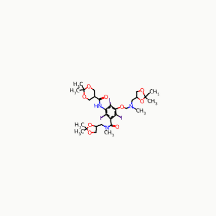 CN(COc1c(I)c(NC(=O)C2COC(C)(C)OC2)c(I)c(C(=O)N(C)CC2COC(C)(C)O2)c1I)CC1COC(C)(C)O1